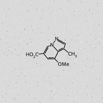 COc1cc(C(=O)O)cn2ncc(C)c12